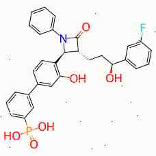 O=C1[C@H](CC[C@H](O)c2cccc(F)c2)[C@@H](c2ccc(-c3cccc(P(=O)(O)O)c3)cc2O)N1c1ccccc1